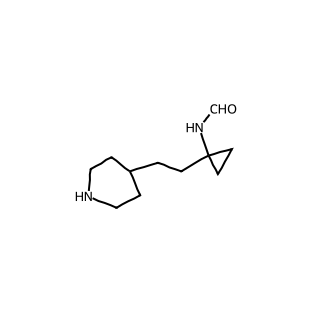 O=CNC1(CCC2CCNCC2)CC1